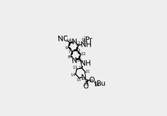 CC(C)Nc1nc(C#N)cc2cnc(NC3CCCN(C(=O)OC(C)(C)C)C3)cc12